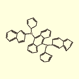 C1=CCC(N(c2ccc3ccccc3c2)c2c3ccccc3c(N(c3ccccc3)c3ccc4ccccc4c3)c3ccccc23)C=C1